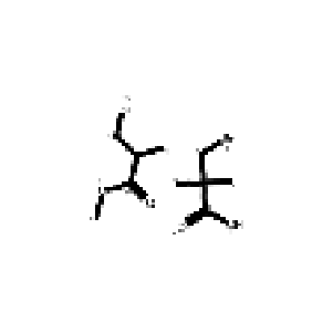 CC(C)(CBr)C(=O)O.COC(=O)C(C)CBr